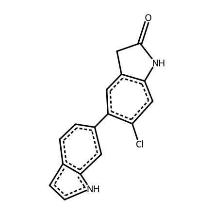 O=C1Cc2cc(-c3ccc4cc[nH]c4c3)c(Cl)cc2N1